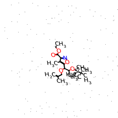 C=C(C)COC(c1onc(C(=O)OCC)c1C)C(C)O[Si](C)(C)C(C)(C)C